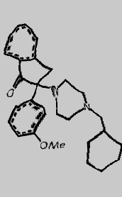 COc1cccc(C2(N3CCN(CC4CCCCC4)CC3)Cc3ccccc3C2=O)c1